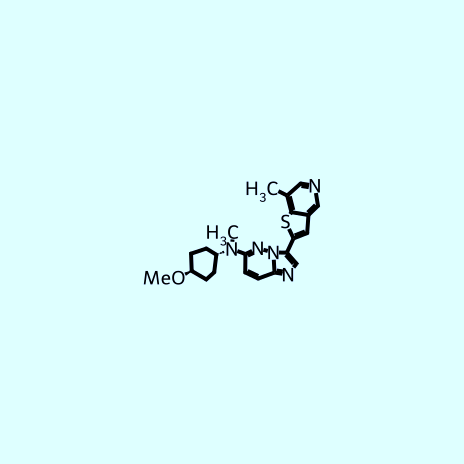 CO[C@H]1CC[C@H](N(C)c2ccc3ncc(-c4cc5cncc(C)c5s4)n3n2)CC1